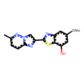 COc1cc(O)c2sc(-c3cn4nc(C)ccc4n3)nc2c1